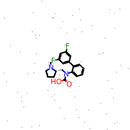 CN1CCC[C@H]1CN(C(=O)O)c1ccccc1-c1cc(F)cc(F)c1